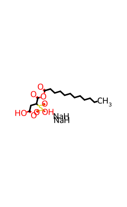 CCCCCCCCCCCC(=O)OC(=O)C(CC(=O)O)S(=O)(=O)O.[NaH].[NaH]